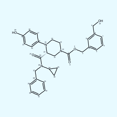 O=C(OCc1cccc(CO)c1)N1CCN(c2ccc(O)cc2)[C@@H](C(=O)N(Cc2ccccc2)C2CC2)C1